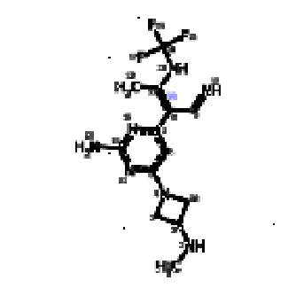 CNC1CN(c2cc(/C(C=N)=C(\C)NC(F)(F)F)nc(N)n2)C1